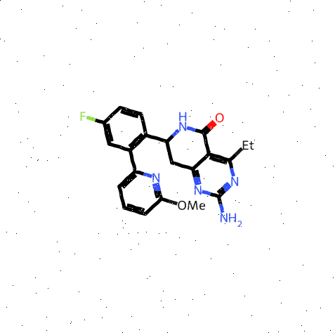 CCc1nc(N)nc2c1C(=O)NC(c1ccc(F)cc1-c1cccc(OC)n1)C2